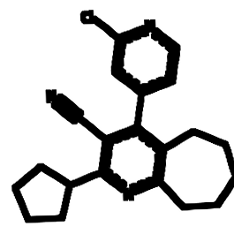 N#Cc1c(C2CCCC2)nc2c(c1-c1ccnc(Cl)c1)CCCCC2